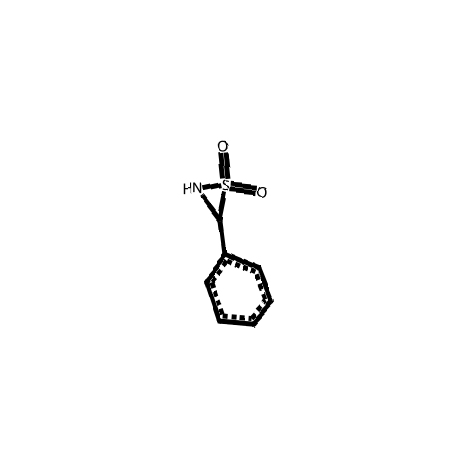 O=S1(=O)NC1c1ccccc1